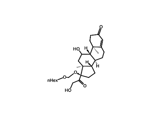 CCCCCCOCO[C@]1(C(=O)CO)CC[C@H]2[C@@H]3CCC4=CC(=O)CC[C@]4(C)[C@H]3C(O)C[C@@]21C